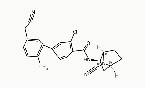 Cc1ccc(CC#N)cc1-c1ccc(C(=O)N[C@@H]2C[C@@H]3CC[C@H]2N3C#N)c(Cl)c1